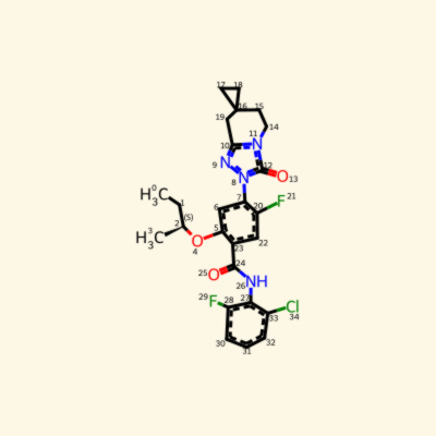 CC[C@H](C)Oc1cc(-n2nc3n(c2=O)CCC2(CC2)C3)c(F)cc1C(=O)Nc1c(F)cccc1Cl